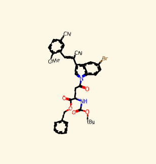 COc1ccc(C#N)cc1/C=C(\C#N)c1cn(C(=O)CC(NC(=O)OC(C)(C)C)C(=O)OCc2ccccc2)c2ccc(Br)cc12